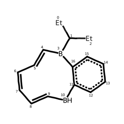 CCC(CC)B1/C=C/C=C\C=C\Bc2ccccc21